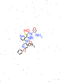 Cc1cc(Oc2ccccc2)ncc1N1C(=O)Nc2c(C(O)N[C@@H]3COC[C@@H]3N)sc3nccc1c23